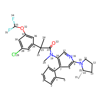 Cc1ccccc1-c1cc(N2CCC[C@@H]2C)ncc1N(C)C(=O)C(C)(C)c1cc(Cl)cc(OC(F)F)c1